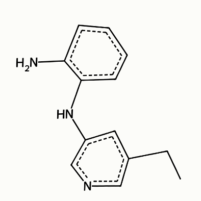 CCc1cncc(Nc2ccccc2N)c1